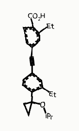 CCc1cc(C#Cc2ccc(C3(OC(C)C)CC3)c(CC)c2)ccc1C(=O)O